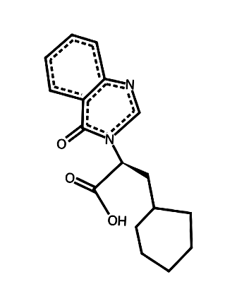 O=C(O)[C@H](CC1CCCCC1)n1cnc2ccccc2c1=O